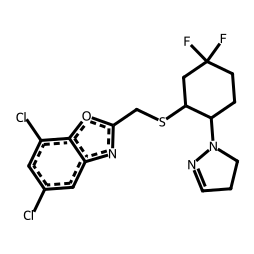 FC1(F)CCC(N2CCC=N2)C(SCc2nc3cc(Cl)cc(Cl)c3o2)C1